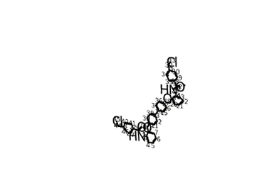 O=C(Nc1ccccc1Oc1ccc(-c2ccc(Oc3ccccc3NC(=O)c3ccc(CCl)cc3)cc2)cc1)c1ccc(CCl)cc1